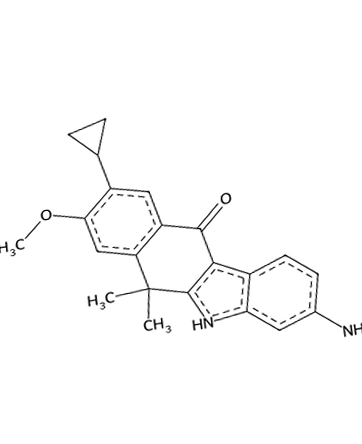 COc1cc2c(cc1C1CC1)C(=O)c1c([nH]c3cc(N)ccc13)C2(C)C